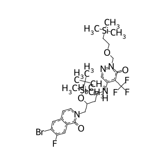 C[C@@H](CC(Cn1ccc2cc(Br)c(F)cc2c1=O)O[Si](C)(C)C(C)(C)C)Nc1cnn(COCC[Si](C)(C)C)c(=O)c1C(F)(F)F